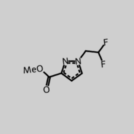 COC(=O)c1ccn(CC(F)F)n1